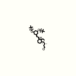 C[C@H](CC=O)[C@H]1CC[C@H]2/C(=C/C=C3CC(O[Si](C)(C)C(C)(C)C)CC(O[Si](C)(C)C(C)(C)C)C3)CCC[C@]12C